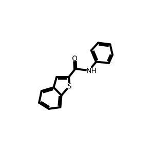 O=C(Nc1[c]cccc1)c1cc2ccccc2s1